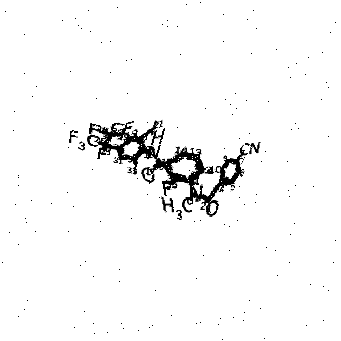 CN(C(=O)c1ccc(C#N)cc1)c1cccc(C(=O)Nc2c(I)cc(C(F)(C(F)(F)F)C(F)(F)C(F)(F)F)cc2I)c1F